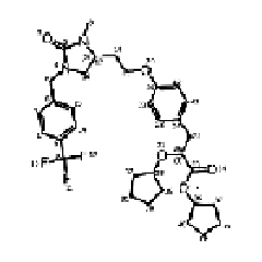 CN1C(=O)N(Cc2ccc(C(F)(F)F)cc2)C[C@@H]1CCOc1ccc(C[C@H](OC2CCCC2)C(=O)OC2CCCC2)cc1